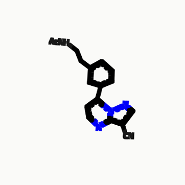 CC(=O)NCCc1cccc(-c2ccnc3c(C#N)cnn23)c1